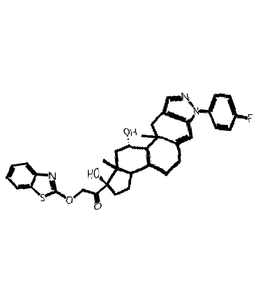 CC12Cc3cnn(-c4ccc(F)cc4)c3C=C1CCC1C2[C@@H](O)CC2(C)C1CC[C@]2(O)C(=O)COc1nc2ccccc2s1